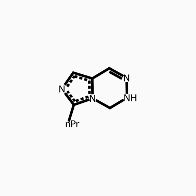 CCCc1ncc2n1CNN=C2